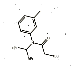 CCCC(CCC)N(C(=O)CC(C)(C)C)c1cccc(C)c1